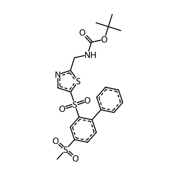 CC(C)(C)OC(=O)NCc1ncc(S(=O)(=O)c2cc(S(C)(=O)=O)ccc2-c2ccccc2)s1